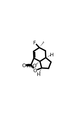 CC(=O)O[C@]12C3=C[C@@](C)(F)C[C@H]1CC[C@H]2OC3=O